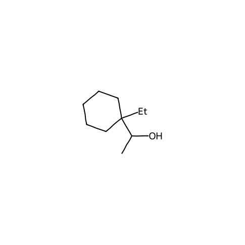 CCC1(C(C)O)CCCCC1